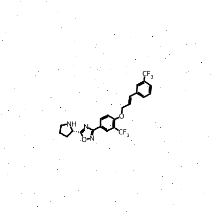 FC(F)(F)c1cccc(/C=C/COc2ccc(-c3noc([C@@H]4CCCN4)n3)cc2C(F)(F)F)c1